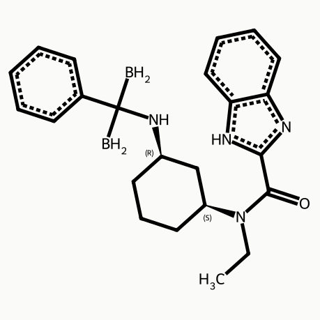 BC(B)(N[C@@H]1CCC[C@H](N(CC)C(=O)c2nc3ccccc3[nH]2)C1)c1ccccc1